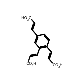 O=C(O)C=Cc1ccc(C=CC(=O)O)c(C=CC(=O)O)c1